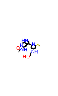 CSc1cc(NCCO)cc(-c2c[nH]c3cnc(NC(C)=O)cc23)n1